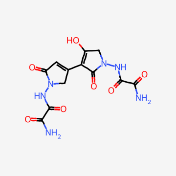 NC(=O)C(=O)NN1CC(C2=C(O)CN(NC(=O)C(N)=O)C2=O)=CC1=O